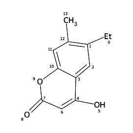 CCc1cc2c(O)cc(=O)oc2cc1C